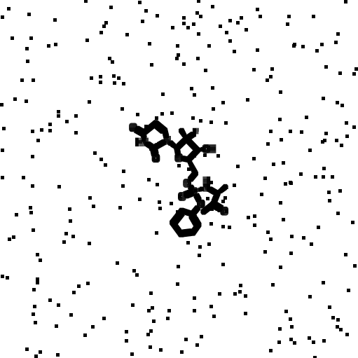 CC(=O)[C@H](C)N[P@](=O)(OC[C@H]1O[C@@H](n2ccc(=O)[nH]c2=O)[C@](C)(F)[C@@H]1O)Oc1ccccc1